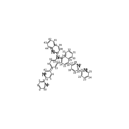 c1ccc(-c2ccc(-c3ccc4c(c3)c3cc(-c5ccc(-c6ccccn6)nc5)c5ccccc5c3n4-c3ccc4ccccc4n3)cn2)nc1